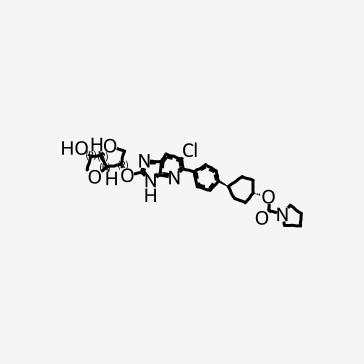 O=C(O[C@H]1CC[C@H](c2ccc(-c3nc4[nH]c(O[C@@H]5CO[C@H]6[C@@H]5OC[C@H]6O)nc4cc3Cl)cc2)CC1)N1CCCC1